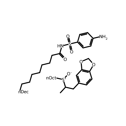 CCCCCCCCCCCCCCCCCC(=O)NS(=O)(=O)c1ccc(N)cc1.CCCCCCCC[S+]([O-])C(C)Cc1ccc2c(c1)OCO2